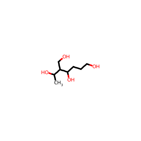 CC(O)C(CO)C(O)CCCO